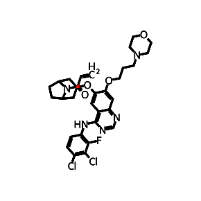 C=CC(=O)N1C2CCC1CC(Oc1cc3c(Nc4ccc(Cl)c(Cl)c4F)ncnc3cc1OCCCN1CCOCC1)C2